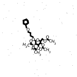 CC(=O)NC1C(OCCCCOCc2ccccc2)OC(COC(C)=O)C(OC(C)=O)C1OC(C)=O